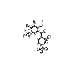 COc1c(C(=O)c2ccc(S(C)(=O)=O)cc2Cl)cc(C(F)(F)F)c(F)c1F